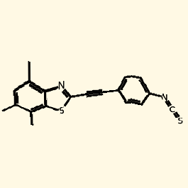 Cc1cc(C)c2nc(C#Cc3ccc(N=C=S)cc3)sc2c1C